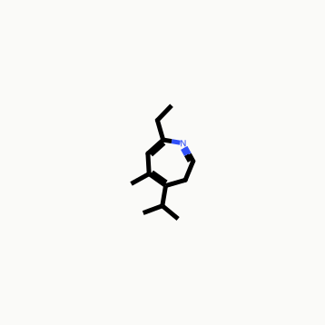 CCC1=CC(C)=C(C(C)C)CC=N1